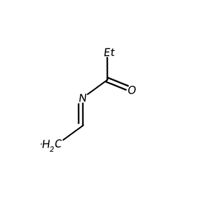 [CH2]C=NC(=O)CC